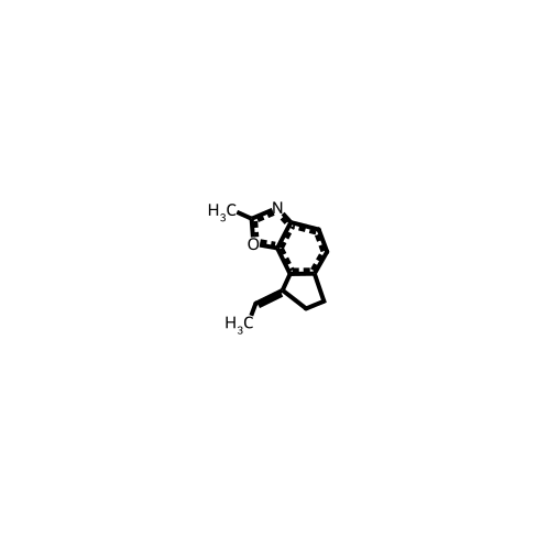 C/C=C1\CCc2ccc3nc(C)oc3c21